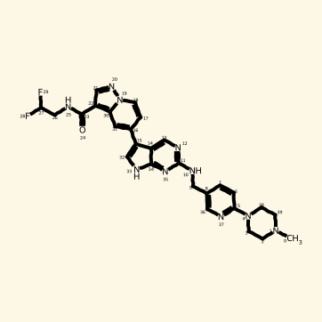 CN1CCN(c2ccc(CNc3ncc4c(-c5ccn6ncc(C(=O)NCC(F)F)c6c5)c[nH]c4n3)cn2)CC1